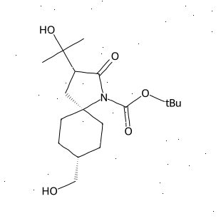 CC(C)(C)OC(=O)N1C(=O)C(C(C)(C)O)C[C@]12CC[C@@H](CO)CC2